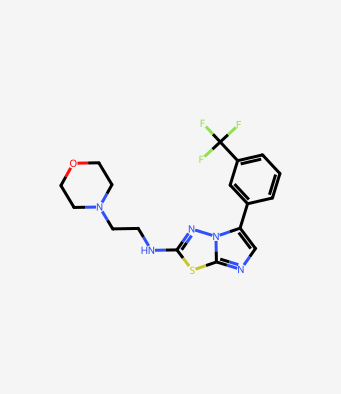 FC(F)(F)c1cccc(-c2cnc3sc(NCCN4CCOCC4)nn23)c1